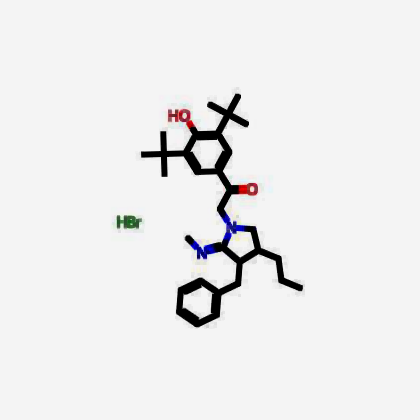 Br.CCCC1CN(CC(=O)c2cc(C(C)(C)C)c(O)c(C(C)(C)C)c2)C(=NC)C1Cc1ccccc1